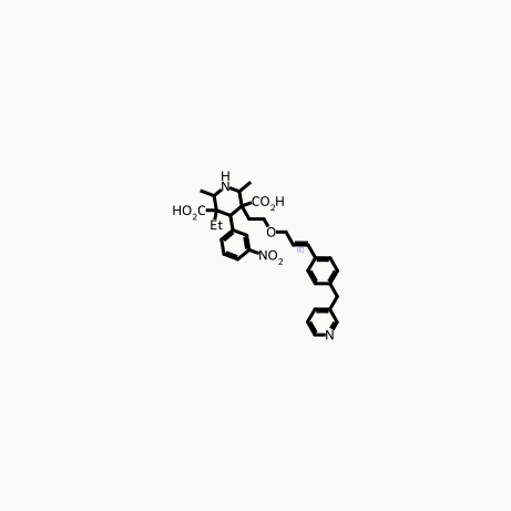 CCC1(C(=O)O)C(C)NC(C)C(CCOC/C=C/c2ccc(Cc3cccnc3)cc2)(C(=O)O)C1c1cccc([N+](=O)[O-])c1